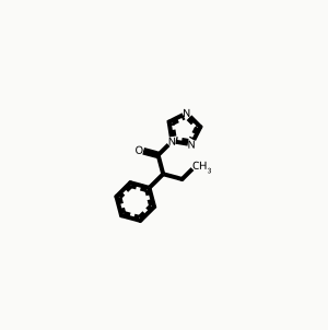 CCC(C(=O)n1cncn1)c1ccccc1